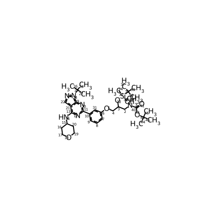 CN(CC(COc1cccc(-c2nc(NC3CCOCC3)c3cnn(C(C)(C)C)c3n2)c1)O[Si](C)(C)C(C)(C)C)C(=O)OC(C)(C)C